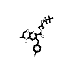 CC1COc2nc(C(=O)N3CC(O[Si](C)(C)C(C)(C)C)C3)c(Cc3ccc(F)cc3)cc2N1